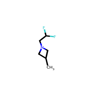 CC1CN(CC(F)F)C1